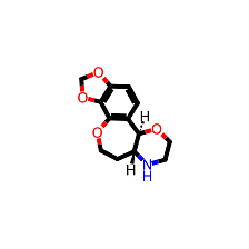 c1cc2c(c3c1OCO3)OCC[C@H]1NCCO[C@H]21